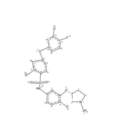 CN1CC[C@@H](Oc2cc(NS(=O)(=O)c3ccc(Sc4ccc(F)c(Cl)c4)cc3Cl)ccc2Cl)C1